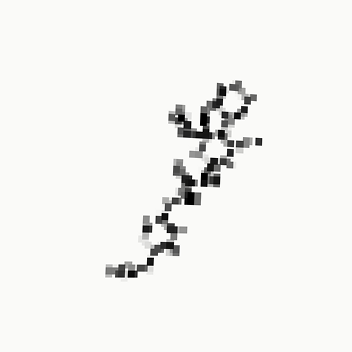 O=C(O)Cc1ccc(CNC(=O)NC2=CC(F)=C(c3ccccc3)C(F)(OC(F)(F)F)C2)cc1